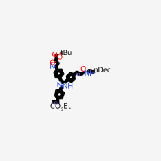 CCCCCCCCCCCCNC(=O)/C=C/c1ccc(-c2[nH]c(-c3ccc(/C=C/C(=O)OCC)cc3)nc2-c2ccc(C3=NOC(C(=O)OC(C)(C)C)C3)cc2)cc1